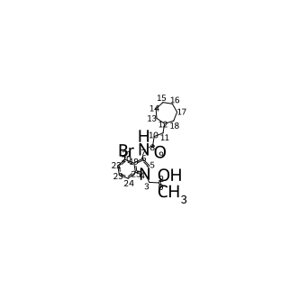 CC(O)Cn1cc(NC(=O)CCC2CCCCCC2)c2c(Br)cccc21